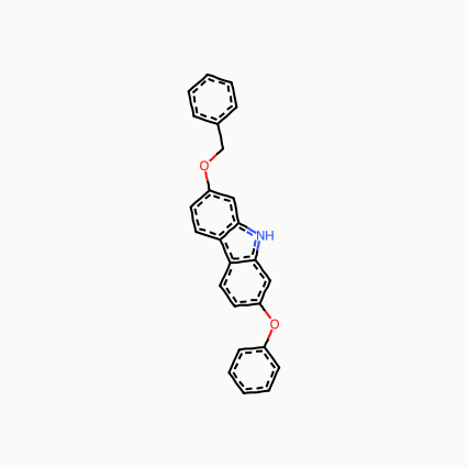 c1ccc(COc2ccc3c(c2)[nH]c2cc(Oc4ccccc4)ccc23)cc1